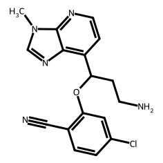 Cn1cnc2c(C(CCN)Oc3cc(Cl)ccc3C#N)ccnc21